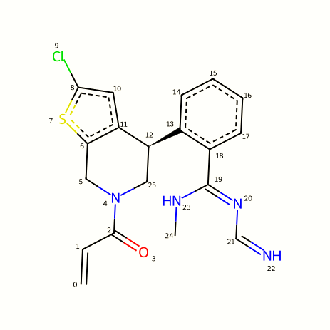 C=CC(=O)N1Cc2sc(Cl)cc2[C@@H](c2ccccc2/C(=N/C=N)NC)C1